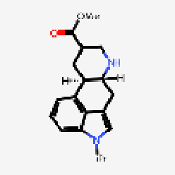 COC(=O)C1CN[C@@H]2Cc3cn(C(C)C)c4cccc(c34)[C@H]2C1